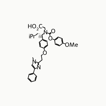 COc1ccc(OC(=O)N(CC(=O)O)[C@@H](CC(C)C)c2ccc(OCCc3nc(-c4ccccc4)cn3C)cc2)cc1